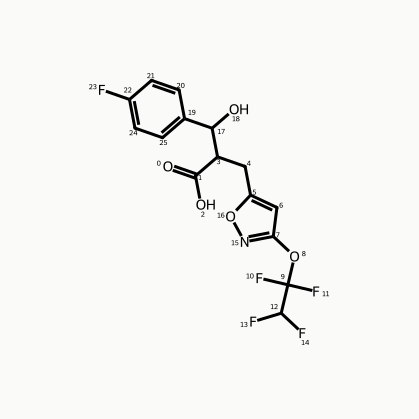 O=C(O)C(Cc1cc(OC(F)(F)C(F)F)no1)C(O)c1ccc(F)cc1